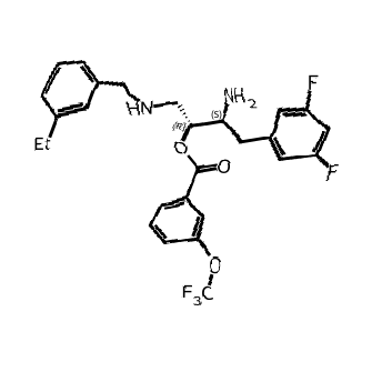 CCc1cccc(CNC[C@@H](OC(=O)c2cccc(OC(F)(F)F)c2)[C@@H](N)Cc2cc(F)cc(F)c2)c1